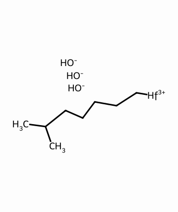 CC(C)CCCC[CH2][Hf+3].[OH-].[OH-].[OH-]